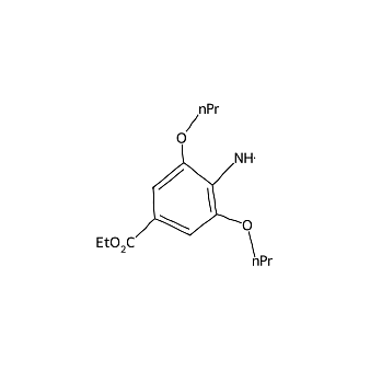 CCCOc1cc(C(=O)OCC)cc(OCCC)c1[NH]